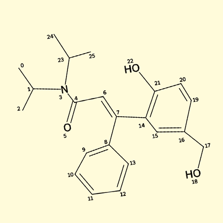 CC(C)N(C(=O)/C=C(\c1ccccc1)c1cc(CO)ccc1O)C(C)C